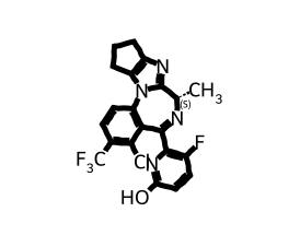 C[C@@H]1N=C(c2nc(O)ccc2F)c2c(ccc(C(F)(F)F)c2Cl)-n2c1nc1c2CCC1